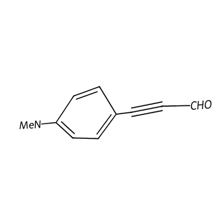 CNc1ccc(C#CC=O)cc1